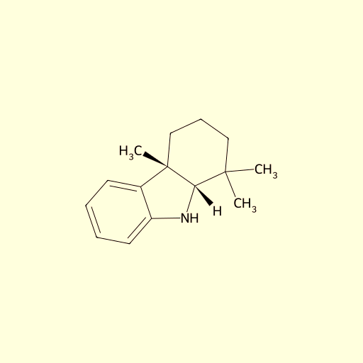 CC1(C)CCC[C@@]2(C)c3ccccc3N[C@@H]12